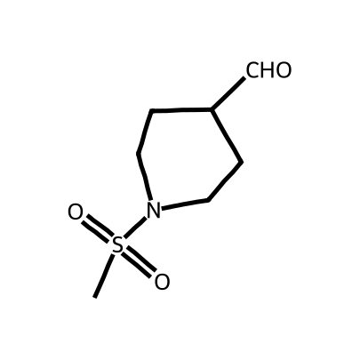 CS(=O)(=O)N1CCC(C=O)CC1